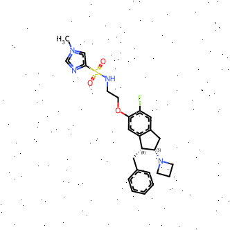 Cn1cnc(S(=O)(=O)NCCOc2cc3c(cc2F)C[C@H](N2CCC2)[C@@H]3Cc2ccccc2)c1